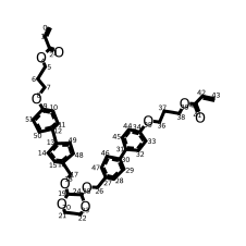 C=CC(=O)OCCCOc1ccc(-c2ccc(COC3OCCOC3OCc3ccc(-c4ccc(OCCCOC(=O)C=C)cc4)cc3)cc2)cc1